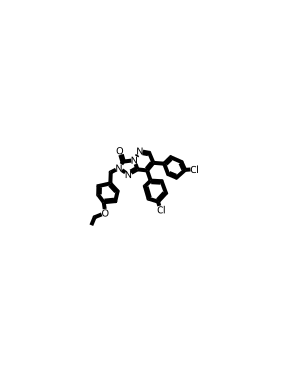 CCOc1ccc(Cn2nc3c(-c4ccc(Cl)cc4)c(-c4ccc(Cl)cc4)cnn3c2=O)cc1